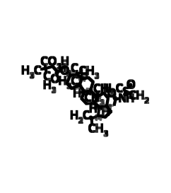 C=C(C)[C@@H]1CC[C@]2(CC(=O)NS(=C)(C)=O)CC[C@]3(C)[C@H](CC[C@@H]4[C@@]5(C)CC[C@H](OC(=O)CC(C)(C)C(=O)O)C(C)(C)[C@@H]5CC[C@]43C)[C@@H]12